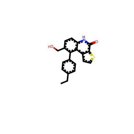 CCc1ccc(-c2c(CO)ccc3[nH]c(=O)c4sccc4c23)cc1